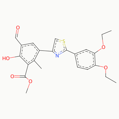 CCOc1ccc(-c2nc(-c3cc(C=O)c(O)c(C(=O)OC)c3C)cs2)cc1OCC